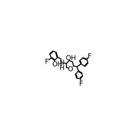 Oc1c(F)cccc1CNC1COC(C(c2ccc(F)cc2)c2ccc(F)cc2)CC1O